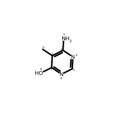 Cc1c(N)ncnc1O